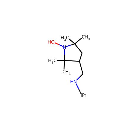 CC(C)NCC1CC(C)(C)N(O)C1(C)C